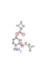 Nc1ccc(OC(=O)C2CCC2)cc1OCC1CC1